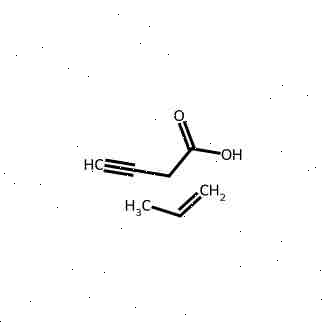 C#CCC(=O)O.C=CC